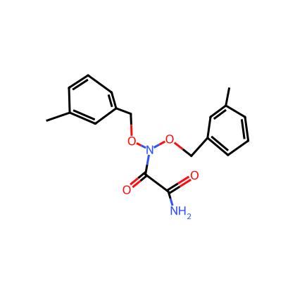 Cc1cccc(CON(OCc2cccc(C)c2)C(=O)C(N)=O)c1